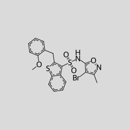 COc1ccccc1Cc1sc2ccccc2c1S(=O)(=O)Nc1onc(C)c1Br